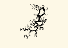 CN1C(=N)N[C@](C)(c2ccnc(-c3cccc(O)c3)c2)[C@H](C2CC2)C1=O